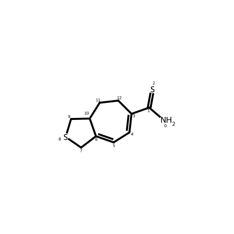 NC(=S)C1=CC=C2CSCC2CC1